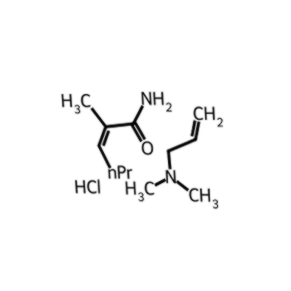 C=CCN(C)C.CCCC=C(C)C(N)=O.Cl